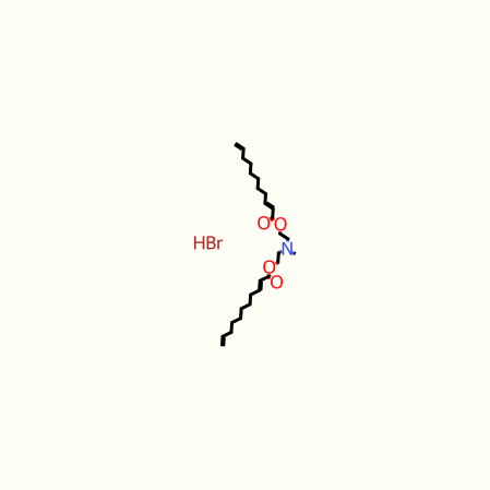 Br.C=CCCCCCCC=CC(=O)OCCN(C)CCOC(=O)C=CCCCCCCC=C